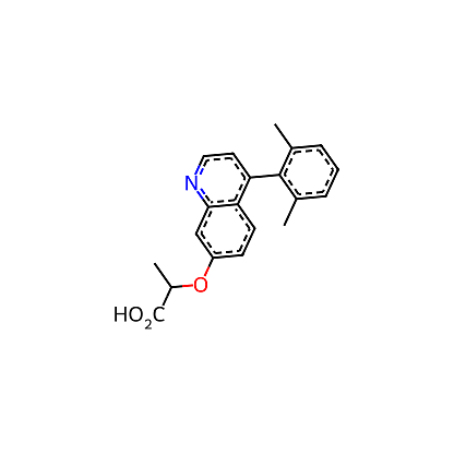 Cc1cccc(C)c1-c1ccnc2cc(OC(C)C(=O)O)ccc12